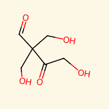 O=CC(CO)(CO)C(=O)CO